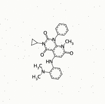 CN(C)c1ccccc1Nc1cc(=O)n(C)c2c1c(=O)n(C1CC1)c(=O)n2-c1ccccc1